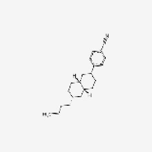 C=CCC[C@@H]1CC[C@@H]2CC(c3ccc(C#N)cc3)CC[C@@H]2C1